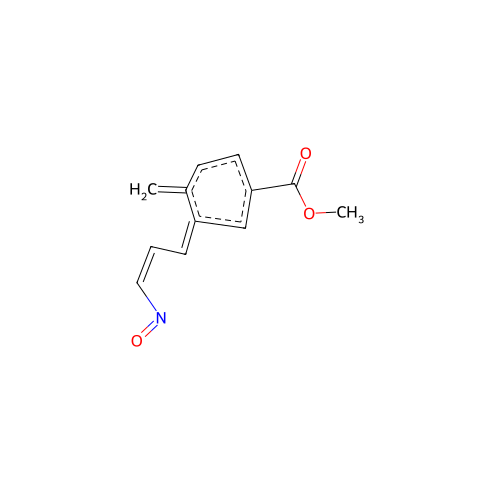 C=c1ccc(C(=O)OC)c/c1=C/C=C\N=O